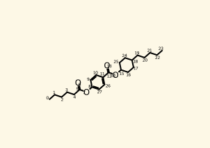 CCCCCC(=O)Oc1ccc(C(=O)OC2CCC(CCCCC)CC2)cc1